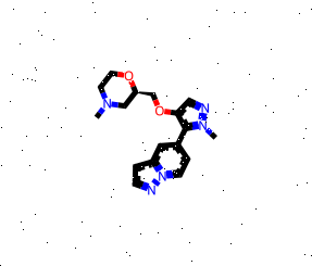 CN1CCO[C@@H](COc2cnn(C)c2-c2ccn3nccc3c2)C1